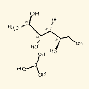 O=C(O)[C@H](O)[C@@H](O)[C@H](O)[C@H](O)CO.OB(O)O